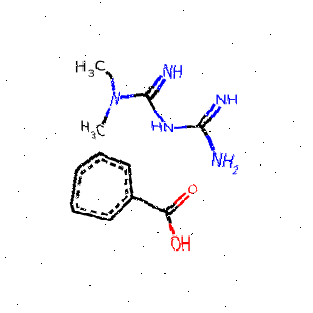 CN(C)C(=N)NC(=N)N.O=C(O)c1ccccc1